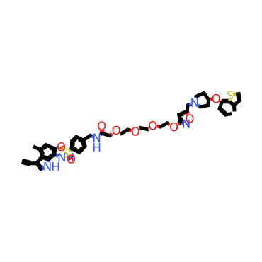 C#Cc1c[nH]c2c(NS(=O)(=O)c3ccc(CNC(=O)COCCOCCOCCOc4cc(CN5CCC(OC(/C=C\C)=C6\SC=CC6C)CC5)on4)cc3)ccc(C)c12